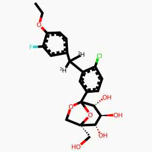 [2H]C([2H])(c1ccc(OCC)c(F)c1)c1cc(C23OC[C@@](CO)(O2)[C@@H](O)[C@H](O)[C@H]3O)ccc1Cl